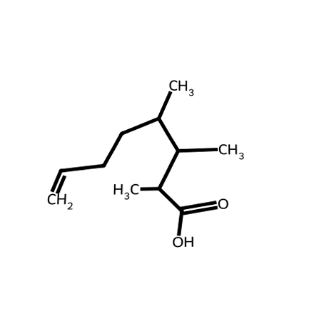 C=CCCC(C)C(C)C(C)C(=O)O